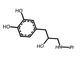 CC(C)NCC(O)Cc1ccc(O)c(O)c1